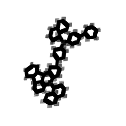 CC12c3ccccc3-c3cccc(c31)N(c1cccc3ccccc13)c1ccc(-c3ccc(N(c4ccc(-c5ccccc5)cc4)c4cccc5ccccc45)cc3)cc12